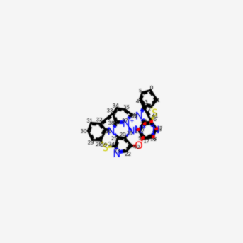 c1cc2c3c(c1)c1ccc[n+]4c1n3-c1c(ncc3c1[N+]41c4c(cnc5c4-n4c6c(cccc6c6ccc[n+]1c64)S5)O3)S2